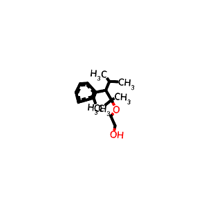 Cc1ccccc1C(C(C)C)C(C)(C)OCCO